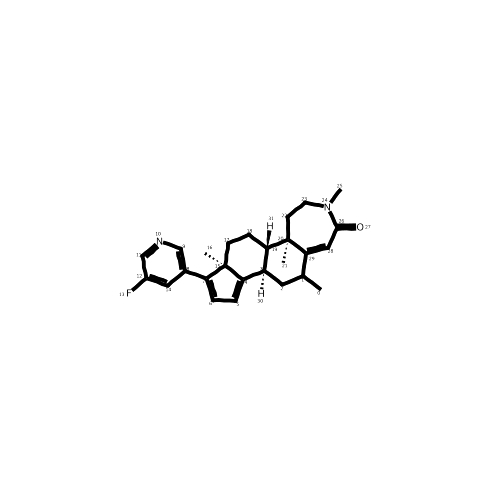 CC1C[C@H]2C3=CC=C(c4cncc(F)c4)[C@@]3(C)CC[C@@H]2[C@@]2(C)CCN(C)C(=O)C=C12